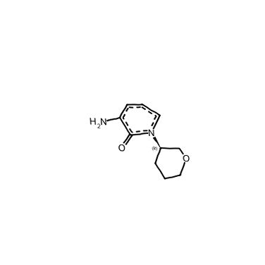 Nc1cccn([C@@H]2CCCOC2)c1=O